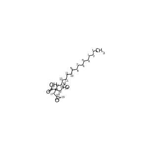 CCCCCCCCCCCCCCCCC(CC1CO1)(CC1CO1)C(=O)O